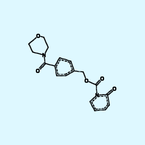 O=C(c1ccc(COC(=O)n2ccccc2=O)cc1)N1CCOCC1